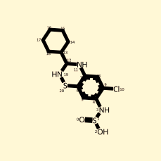 O=S(O)Nc1cc2c(cc1Cl)NC(C1CCCCC1)NS2